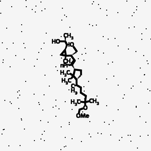 CCC/C(=C\[C@@H](CO)[C@]1(C)C[C@H]1C[C@@H](C)O)[C@@H]1CC[C@H]([C@H](C)CCCC(C)(C)OCOC)C1(C)C